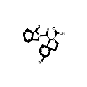 O=C1c2ccccc2CN1C(=O)[C@@H]1c2ccc(Br)cc2CCN1C(=O)O